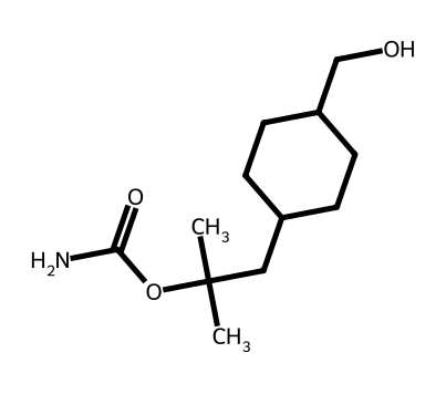 CC(C)(CC1CCC(CO)CC1)OC(N)=O